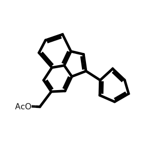 CC(=O)OCc1cc2c3c(cccc3c1)C=C2c1ccccc1